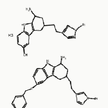 CC(C)n1cc(CCC2Cc3c([nH]c4ccc(O)cc34)C(N)C2)cn1.CC(C)n1cc(CCC2Cc3c([nH]c4ccc(OCc5ccccc5)cc34)C(N)C2)cn1.Cl